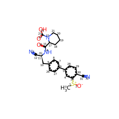 C[S+]([O-])c1cc(-c2ccc(C[C@@H](C#N)NC(=O)C3CCCCN3C(=O)O)cc2)ccc1C#N